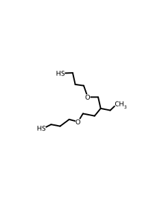 CCC(CCOCCCS)COCCCS